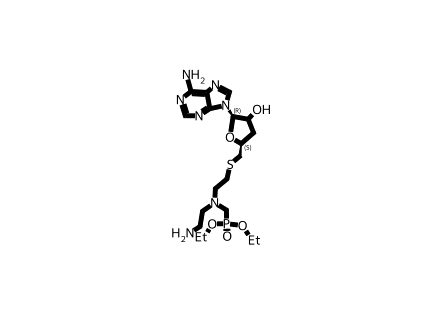 CCOP(=O)(CN(CCN)CCSC[C@@H]1CC(O)[C@H](n2cnc3c(N)ncnc32)O1)OCC